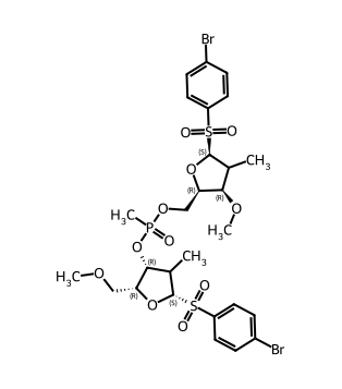 COC[C@H]1O[C@@H](S(=O)(=O)c2ccc(Br)cc2)C(C)[C@H]1OP(C)(=O)OC[C@H]1O[C@@H](S(=O)(=O)c2ccc(Br)cc2)C(C)[C@H]1OC